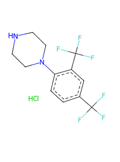 Cl.FC(F)(F)c1ccc(N2CCNCC2)c(C(F)(F)F)c1